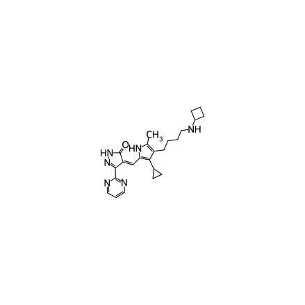 Cc1[nH]c(C=C2C(=O)NN=C2c2ncccn2)c(C2CC2)c1CCCCNC1CCC1